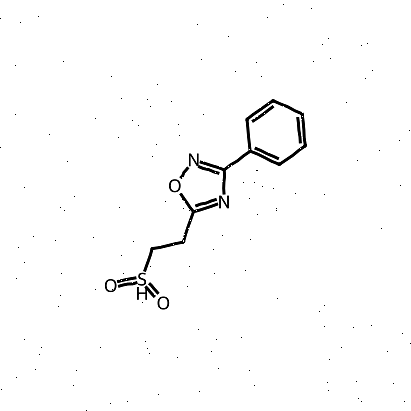 O=[SH](=O)CCc1nc(-c2ccccc2)no1